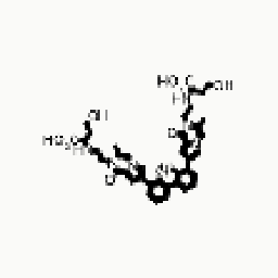 Cc1cn2cc(-c3cccc(-c4cccc(-c5cc6c(=O)n(CCNC(CCO)C(=O)O)c(C)cn6c5)c4Cl)c3Cl)cc2c(=O)n1CCNC(CCO)C(=O)O